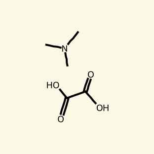 CN(C)C.O=C(O)C(=O)O